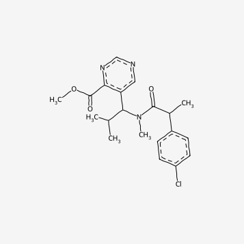 COC(=O)c1ncncc1C(C(C)C)N(C)C(=O)C(C)c1ccc(Cl)cc1